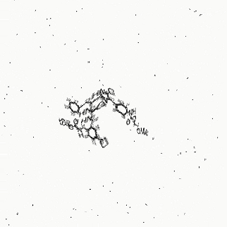 COCCOC(=O)Nc1ccc(-c2nc([C@H](Cc3ccccc3)NC(=O)NCc3cc(Cl)ccc3CNC(=O)OC(C)(C)C)[nH]c2Cl)cc1